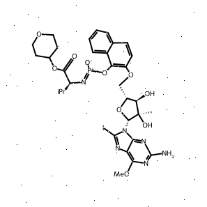 COc1nc(N)nc2c1nc(I)n2[C@@H]1O[C@H](COc2ccc3ccccc3c2O/[P+]([O-])=N/[C@H](C(=O)OC2CCOCC2)C(C)C)[C@@H](O)[C@@]1(C)O